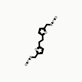 O=C=NCc1ccc(CCc2ccc(CN=C=O)o2)o1